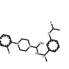 C[C@@H](NC(O)N1CCN(c2ccncc2F)CC1)c1cccc(OC(F)F)c1